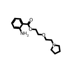 Nc1ccccc1C(=O)OCCOCCN1CCCC1